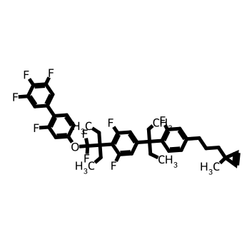 CCC(CC)(c1cc(F)c(C(CC)(CC)C(F)(F)Oc2ccc(-c3cc(F)c(F)c(F)c3)c(F)c2)c(F)c1)c1ccc(CCCC2(C)C#C2)cc1F